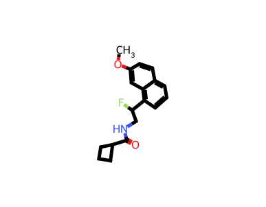 COc1ccc2cccc(C(F)CNC(=O)C3CCC3)c2c1